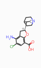 Nc1c(Cl)cc(C(=O)O)c2c1C[C@@H](C1CN3CCC1CC3)O2